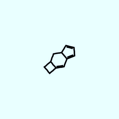 C1=CC2CC3CCC3=CC2=C1